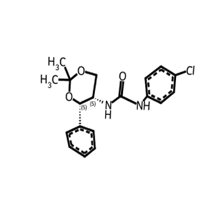 CC1(C)OC[C@H](NC(=O)Nc2ccc(Cl)cc2)[C@H](c2ccccc2)O1